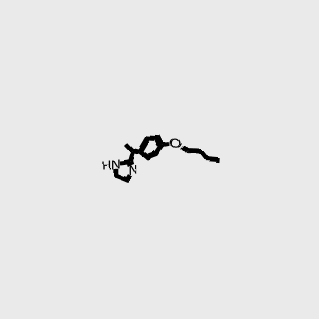 CCCCOc1ccc(C(C)C2=NCCN2)cc1